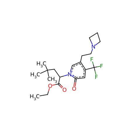 CCOC(=O)C(CC(C)(C)C)n1cc(CCN2CCC2)c(C(F)(F)F)cc1=O